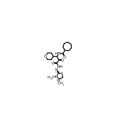 C[C@@H]1CS/C(=N\NC(=O)C(=O)C(NC(=O)C2CCCCCC2)C2CCOCC2)N1C